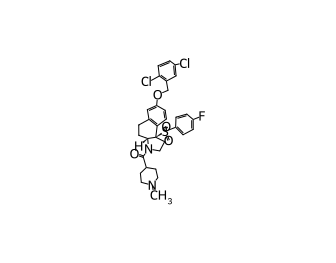 CN1CCC(C(=O)N2CC[C@@]3(S(=O)(=O)c4ccc(F)cc4)c4ccc(OCc5cc(Cl)ccc5Cl)cc4CC[C@@H]23)CC1